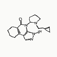 CC(C)n1ncc2c3c(c(=O)n(C4CCCN4CC4CC4)c21)CCCC3